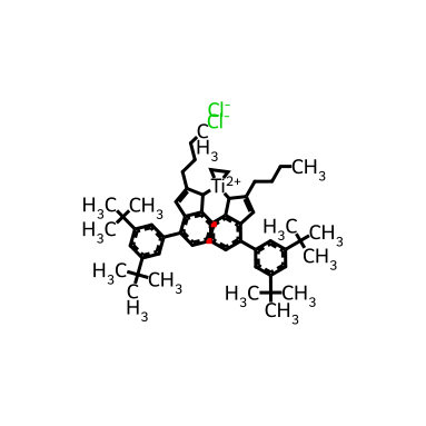 CCCCC1=Cc2c(-c3cc(C(C)(C)C)cc(C(C)(C)C)c3)cccc2[CH]1[Ti+2]1([CH]2C(CCCC)=Cc3c(-c4cc(C(C)(C)C)cc(C(C)(C)C)c4)cccc32)[CH2][CH2]1.[Cl-].[Cl-]